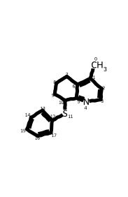 Cc1ccnc2c1CCCC2Sc1ccccc1